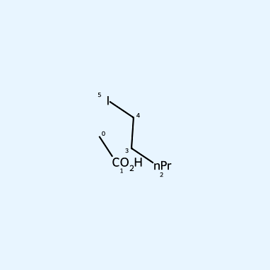 CC(=O)O.CCCCCI